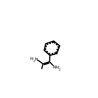 CC(N)=C(N)c1ccccc1